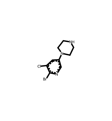 Clc1cc(N2CCNCC2)cnc1Br